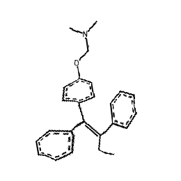 CC/C(=C(\c1ccccc1)c1ccc(OCN(C)C)cc1)c1ccccc1